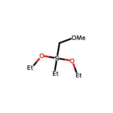 CCO[Si](CC)(COC)OCC